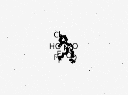 CC(C)(C)OC(=O)Cn1c(CCCC(F)(F)F)nc(-c2ccc(Cl)cc2CO)cc1=O